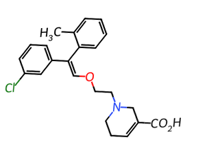 Cc1ccccc1/C(=C\OCCN1CCC=C(C(=O)O)C1)c1cccc(Cl)c1